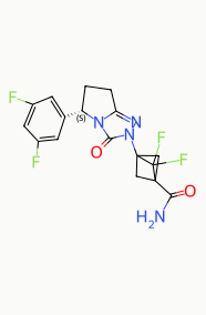 NC(=O)C12CC(n3nc4n(c3=O)[C@H](c3cc(F)cc(F)c3)CC4)(C1)C2(F)F